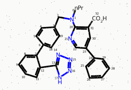 CCCN(Cc1ccc(-c2ccccc2-c2nnn[nH]2)cc1)c1ncc(-c2ccccc2)cc1C(=O)O